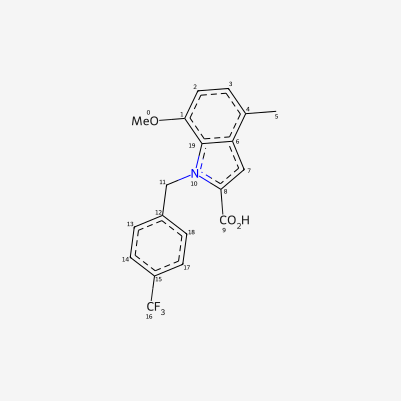 COc1ccc(C)c2cc(C(=O)O)n(Cc3ccc(C(F)(F)F)cc3)c12